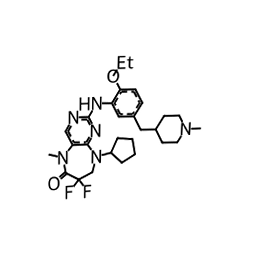 CCOc1ccc(CC2CCN(C)CC2)cc1Nc1ncc2c(n1)N(C1CCCC1)CC(F)(F)C(=O)N2C